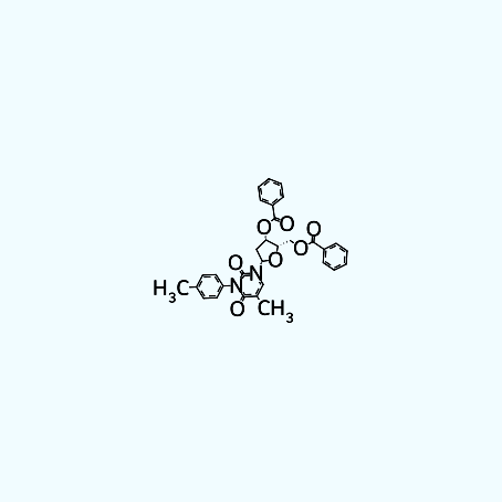 Cc1ccc(-n2c(=O)c(C)cn([C@@H]3C[C@H](OC(=O)c4ccccc4)[C@H](COC(=O)c4ccccc4)O3)c2=O)cc1